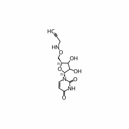 C#CCNOC[C@@H]1O[C@H](n2ccc(=O)[nH]c2=O)C(O)C1O